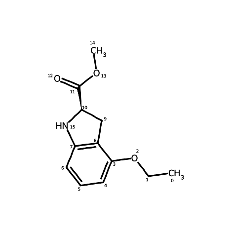 CCOc1cccc2c1C[C@H](C(=O)OC)N2